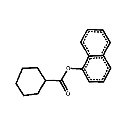 O=C(Oc1cccc2ccccc12)C1CCCCC1